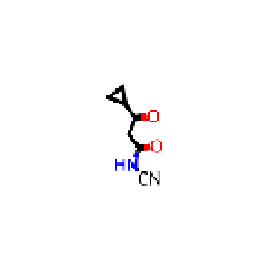 N#CNC(=O)CC(=O)C1CC1